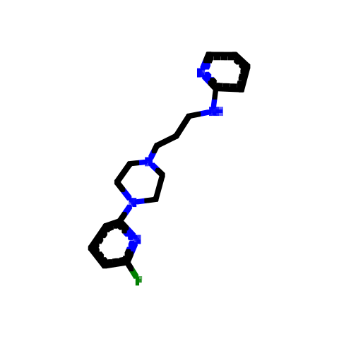 Fc1cccc(N2CCN(CCCNc3ccccn3)CC2)n1